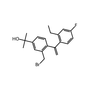 C=C(c1ccc(F)cc1CC)c1ccc(C(C)(C)O)cc1CBr